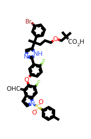 Cc1ccc(S(=O)(=O)n2ccc3c(C=O)c(Oc4ccc(F)c(-c5ncc(C(C)(CCCOCC(C)(C)C(=O)O)c6cccc(Br)c6)[nH]5)c4)c(F)cc32)cc1